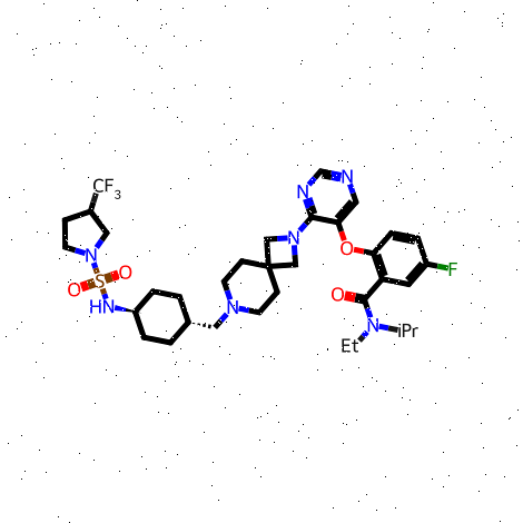 CCN(C(=O)c1cc(F)ccc1Oc1cncnc1N1CC2(CCN(C[C@H]3CC[C@H](NS(=O)(=O)N4CCC(C(F)(F)F)C4)CC3)CC2)C1)C(C)C